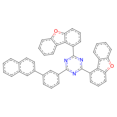 c1cc(-c2ccc3ccccc3c2)cc(-c2nc(-c3cccc4oc5ccccc5c34)nc(-c3cccc4oc5ccccc5c34)n2)c1